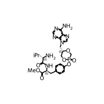 COC(=O)[C@H](Cc1ccc(OP2(=O)CO[C@@H](Cn3cnc4c(N)ncnc43)CO2)cc1)NC(=O)[C@@H](N)C(C)C